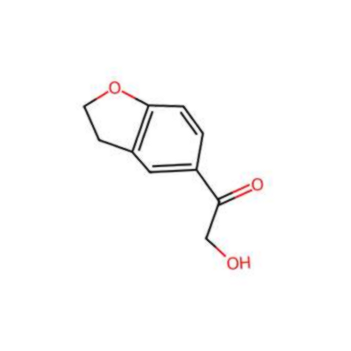 O=C(CO)c1ccc2c(c1)CCO2